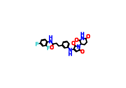 O=C1CCC(N2C(=O)C=C(Nc3cccc(CCC(=O)Nc4ccc(F)cc4F)c3)C2=O)C(=O)N1